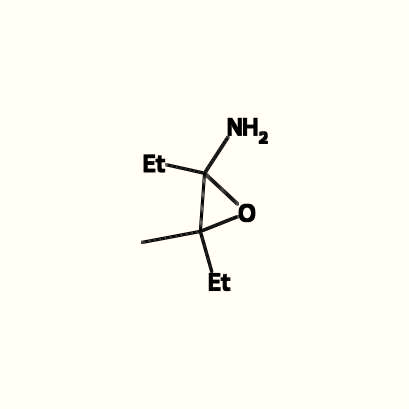 CCC1(C)OC1(N)CC